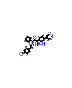 O=C(c1c[nH]c2cc(-c3ccncc3)ccc12)[C@@H](NCCc1ccc(Cl)cc1)c1ccccc1